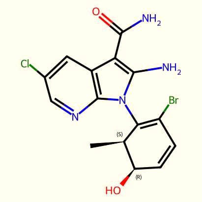 C[C@H]1C(n2c(N)c(C(N)=O)c3cc(Cl)cnc32)=C(Br)C=C[C@H]1O